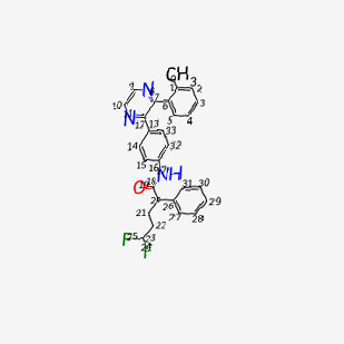 Cc1ccccc1-c1nccnc1-c1ccc(NC(=O)C(CCC(F)F)c2ccccc2)cc1